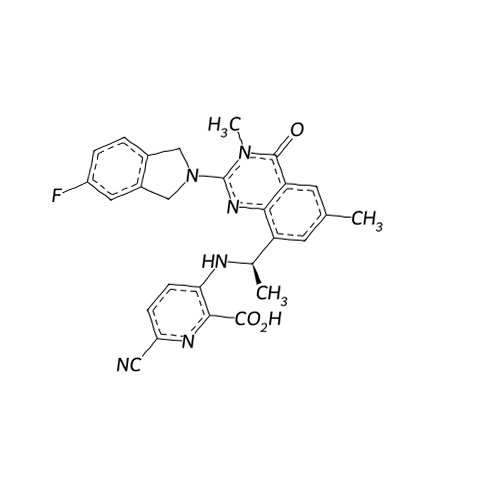 Cc1cc([C@@H](C)Nc2ccc(C#N)nc2C(=O)O)c2nc(N3Cc4ccc(F)cc4C3)n(C)c(=O)c2c1